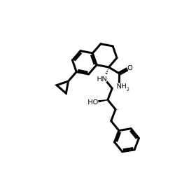 NC(=O)[C@]1(NC[C@H](O)[CH]Cc2ccccc2)CCCc2ccc(C3CC3)cc21